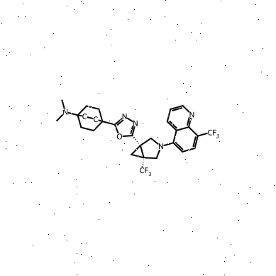 CN(C)C12CCC(c3nnc([C@]45CN(c6ccc(C(F)(F)F)c7ncccc67)C[C@@]4(C(F)(F)F)C5)o3)(CC1)CC2